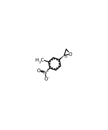 Cc1cc([C@H]2CO2)ccc1[N+](=O)[O-]